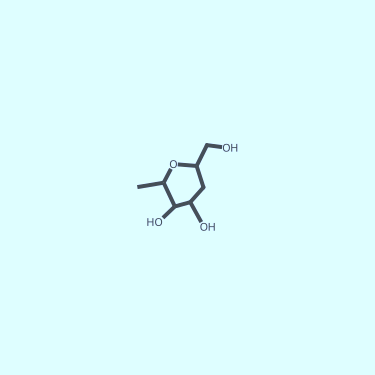 CC1OC(CO)CC(O)C1O